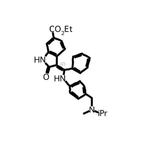 CCOC(=O)c1ccc2c(c1)NC(=O)/C2=C(\Nc1ccc(CN(C)C(C)C)cc1)c1ccccc1